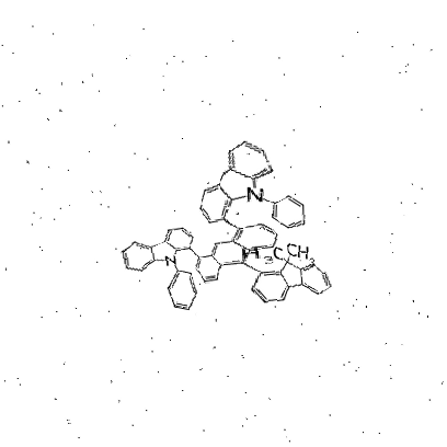 CC1(C)c2ccccc2-c2cccc(-c3c4cccc(-c5cccc6c7ccccc7n(-c7ccccc7)c56)c4cc4c(-c5cccc6c7ccccc7n(-c7ccccc7)c56)cccc34)c21